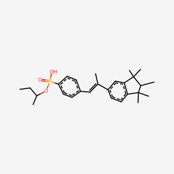 CCC(C)OP(=O)(O)c1ccc(C=C(C)c2ccc3c(c2)C(C)(C)C(C)C3(C)C)cc1